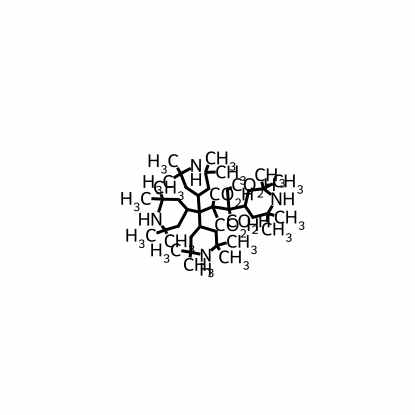 CC1(C)CC(C(CC(=O)O)(C(=O)O)C(C(=O)O)(C(=O)O)C(C2CC(C)(C)NC(C)(C)C2)(C2CC(C)(C)NC(C)(C)C2)C2CC(C)(C)NC(C)(C)C2)CC(C)(C)N1